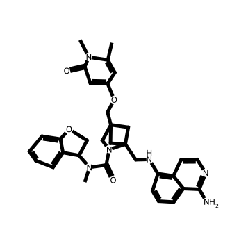 Cc1cc(OCC23CN(C(=O)N(C)C4COc5ccccc54)C(CNc4cccc5c(N)nccc45)(C2)C3)cc(=O)n1C